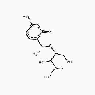 CC(F)C(O)C(CO)O[C@H](C)n1ccc(N)nc1=O